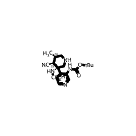 C[C@H]1CNC[C@@](NC(=O)O)(c2ccncc2NC(=O)OC(C)(C)C)[C@H]1C#N